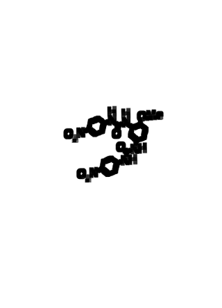 COc1ccc(NC(=O)Nc2ccc([N+](=O)[O-])cc2)cc1NC(=O)Nc1ccc([N+](=O)[O-])cc1